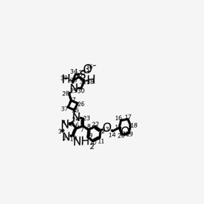 Nc1ncnc2c1c(-c1cccc(OCC34CCC(CC3)O4)c1)cn2C1CC(CN2C[C@@H]3C[C@H]2C[S@@+]3[O-])C1